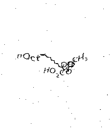 CCCCCCCC/C=C\CCCCCCC[C@@H](O)[C@H](C(=O)O)[S+]([O-])c1ccc(C)cc1